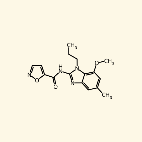 CCCn1c(NC(=O)c2ccno2)nc2cc(C)cc(OC)c21